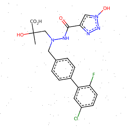 CC(O)(CN(Cc1ccc(-c2cc(Cl)ccc2F)cc1)NC(=O)c1cn(O)nn1)C(=O)O